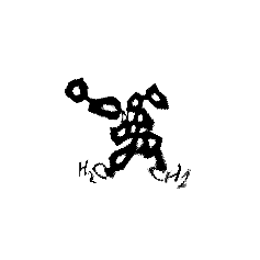 C=Cc1ccc(C2(c3ccc(C=C)cc3)c3ccccc3-c3c(N(c4ccc(-c5ccccc5)cc4)c4ccc(-c5ccccc5)cc4)cccc32)cc1